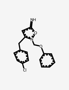 N=c1cc(Cc2ccc(Cl)cc2)n(COc2ccccc2)o1